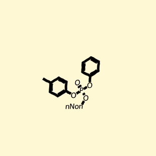 CCCCCCCCCOP(=O)(Oc1ccccc1)Oc1ccc(C)cc1